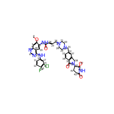 COc1cc2ncnc(Nc3ccc(F)c(Cl)c3)c2cc1NC(=O)/C=C/CN1CCN(Cc2ccc3c(c2)CN(C2CCC(=O)NC2=O)C3=O)CC1